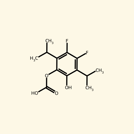 CC(C)c1c(O)c(OC(=O)O)c(C(C)C)c(F)c1F